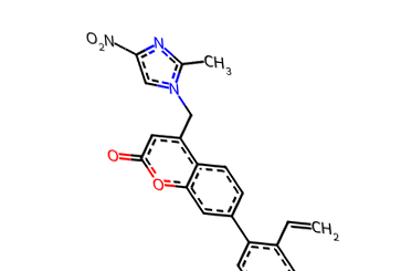 C=Cc1ccccc1-c1ccc2c(Cn3cc([N+](=O)[O-])nc3C)cc(=O)oc2c1